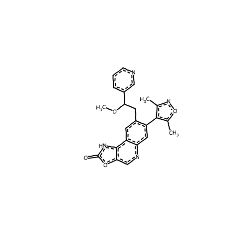 COC(Cc1cc2c(cc1-c1c(C)noc1C)ncc1oc(=O)[nH]c12)c1cccnc1